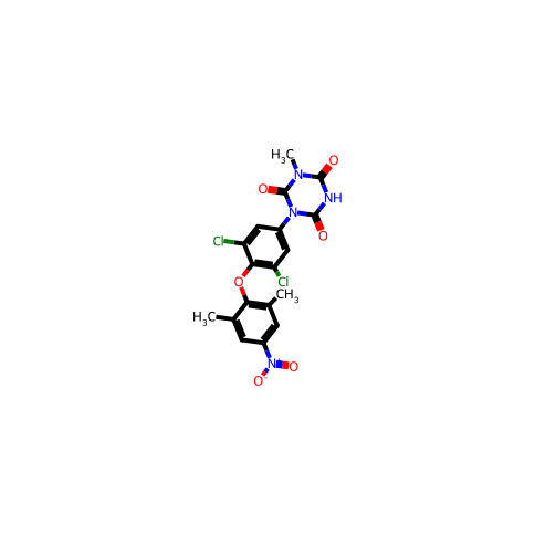 Cc1cc([N+](=O)[O-])cc(C)c1Oc1c(Cl)cc(-n2c(=O)[nH]c(=O)n(C)c2=O)cc1Cl